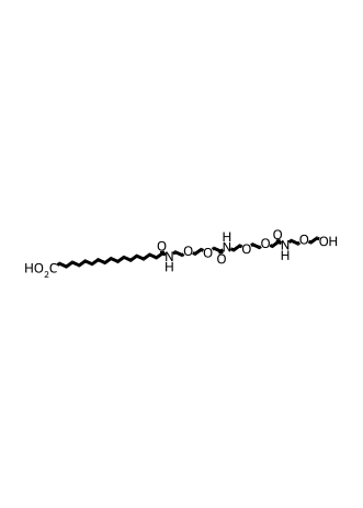 O=C(O)CCCCCCCCCCCCCCCCC(=O)NCCOCCOCC(=O)NCCOCCOCC(=O)NCCOCCO